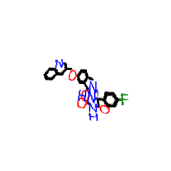 O=C1NC(=O)[C@](CN2Cc3ccc(OCc4cnc5ccccc5c4)cc3C2=O)(c2ccc(F)cc2)N1